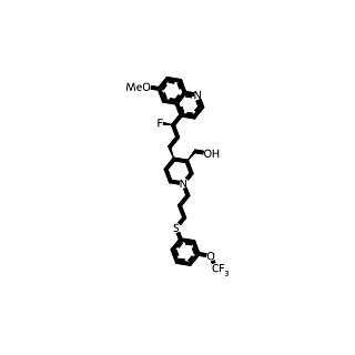 COc1ccc2nccc([C@H](F)CC[C@@H]3CCN(CCCSc4cccc(OC(F)(F)F)c4)C[C@@H]3CO)c2c1